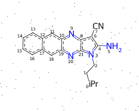 CC(C)CCn1c(N)c(C#N)c2nc3cc4ccccc4cc3nc21